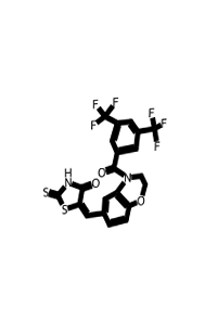 O=C1NC(=S)SC1=Cc1ccc2c(c1)N(C(=O)c1cc(C(F)(F)F)cc(C(F)(F)F)c1)CCO2